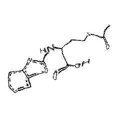 CC(=O)SCCC(Nc1nc2ccccc2o1)C(=O)O